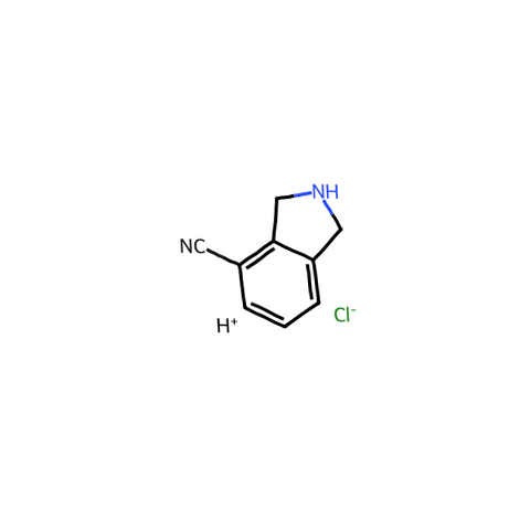 N#Cc1cccc2c1CNC2.[Cl-].[H+]